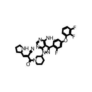 N#CC(=CC1CCCN1)C(=O)N1CCCC(n2nc(-c3ccc(Oc4cccc(F)c4F)cc3F)c3c(N)ncnc32)C1